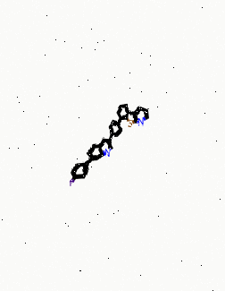 Ic1ccc(-c2ccc3cc(-c4ccc(-c5cccc6c5sc5ncccc56)cc4)cnc3c2)cc1